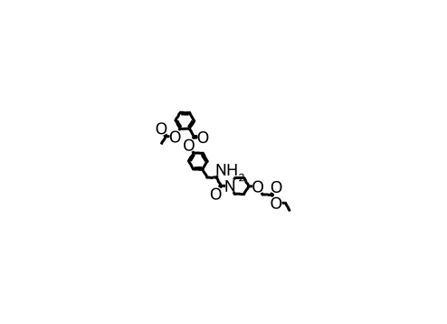 CCOC(=O)COC1CCN(C(=O)C(N)Cc2ccc(OC(=O)c3ccccc3OC(C)=O)cc2)CC1